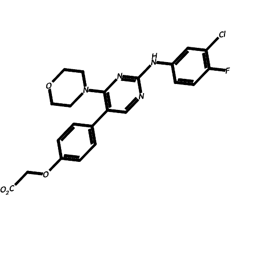 O=C(O)COc1ccc(-c2cnc(Nc3ccc(F)c(Cl)c3)nc2N2CCOCC2)cc1